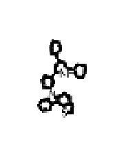 C1=C(c2ccccc2)C=C(c2ccccc2)NC1c1cccc(-n2c3ccccc3c3c4sccc4ccc32)c1